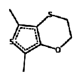 Cc1sc(C)c2c1OCCS2